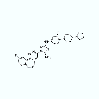 Nc1nc(Nc2ccc(N3CCC(N4CCCC4)CC3)c(F)c2)nn1C1=NNC2=c3cc(F)ccc3=CC=CC2=C1